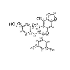 CC[C@H](c1ccc2c(c1Cl)OCO2)N(Cc1ccc(C(=O)O)nc1)C(=O)c1cc(F)cc(F)c1